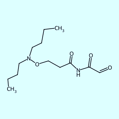 CCCCN(CCCC)OCCC(=O)NC(=O)C=O